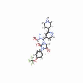 CN1CCC(c2cc(C(NC=O)N3CC(=O)N(c4ccc(OC(F)(F)F)cc4)C3=O)ccn2)CC1